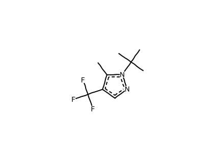 Cc1c(C(F)(F)F)cnn1C(C)(C)C